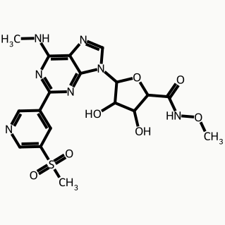 CNc1nc(-c2cncc(S(C)(=O)=O)c2)nc2c1ncn2C1OC(C(=O)NOC)C(O)C1O